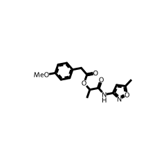 COc1ccc(CC(=O)OC(C)C(=O)Nc2cc(C)on2)cc1